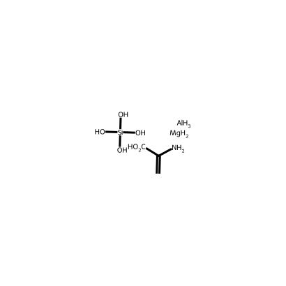 C=C(N)C(=O)O.O[Si](O)(O)O.[AlH3].[MgH2]